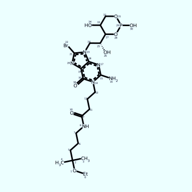 CCOC(C)(C)CCCNC(=O)CCCn1c(N)nc2c(nc(Br)n2C[C@@H](O)C2OP(O)OCC2O)c1=O